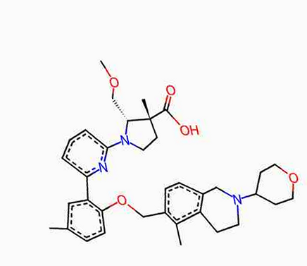 COC[C@H]1N(c2cccc(-c3cc(C)ccc3OCc3ccc4c(c3C)CCN(C3CCOCC3)C4)n2)CC[C@@]1(C)C(=O)O